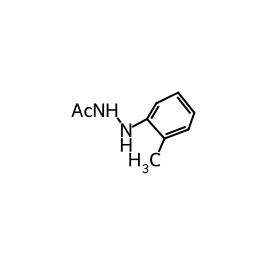 CC(=O)NNc1ccccc1C